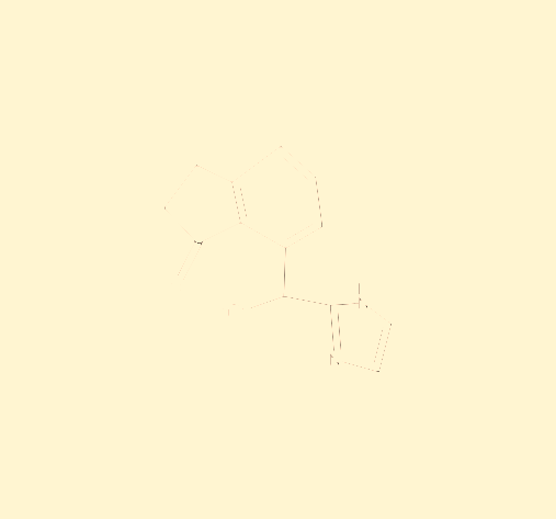 CCCC(c1ncc[nH]1)c1cccc2c1C(=O)CC2